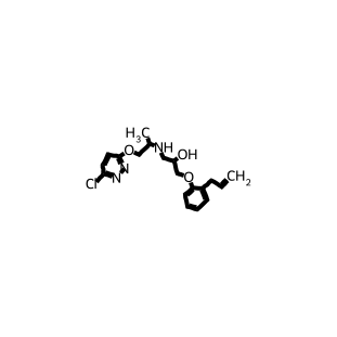 C=CCc1ccccc1OCC(O)CNC(C)COc1ccc(Cl)nn1